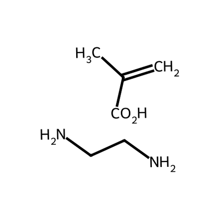 C=C(C)C(=O)O.NCCN